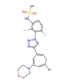 CCCS(=O)(=O)Nc1ccc(F)c(-n2cc(C3=CCC(CC)=CC(N4CCOCC4)=C3)nn2)c1F